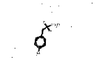 CCOC(=O)C(F)(F)Cc1ccc(CC)cc1